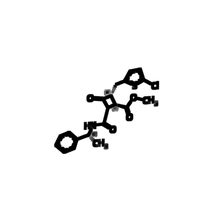 COC(=O)[C@H]1C(C(=O)N[C@H](C)c2ccccc2)C(=O)[C@@H]1Cc1ccc(Cl)s1